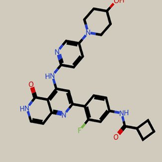 O=C(Nc1ccc(-c2cc(Nc3ccc(N4CCC(O)CC4)cn3)c3c(=O)[nH]ccc3n2)c(F)c1)C1CCC1